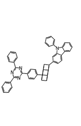 c1ccc(-c2nc(-c3ccccc3)nc(-c3ccc(C45C6C7C4C4C5C6C74c4ccc5c6ccccc6n(-c6ccccc6)c5c4)cc3)n2)cc1